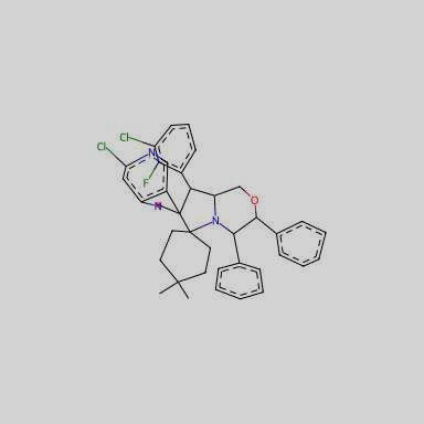 CC1(C)CCC2(CC1)N1C(COC(c3ccccc3)C1c1ccccc1)C(c1cccc(Cl)c1F)C21C=Nc2cc(Cl)ncc21